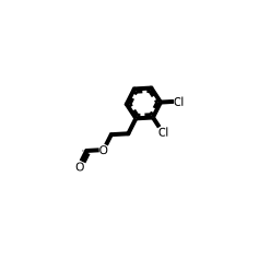 O=[C]OCCc1cccc(Cl)c1Cl